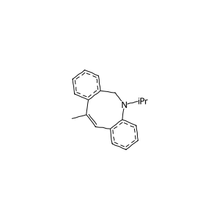 C/C1=C/c2ccccc2N(C(C)C)Cc2ccccc21